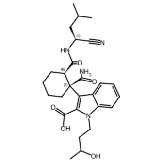 CC(C)C[C@@H](C#N)NC(=O)[C@@H]1CCCC[C@@]1(C(N)=O)c1c(C(=O)O)n(CCC(C)O)c2ccccc12